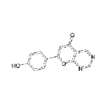 O=c1cc(-c2ccc(O)cc2)oc2ncncc12